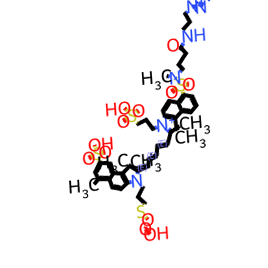 Cc1cc(S(=O)(=O)O)cc2c3c(ccc12)N(CCCSOOO)/C(=C/C=C/C=C/C1=[N+](CCCS(=O)(=O)O)c2ccc4c(S(=O)(=O)N(C)CCCC(=O)NCCCn5ccnn5)cccc4c2C1(C)C)C3(C)C